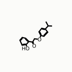 CC(C)c1ccc(OCC(=O)c2ccccc2O)cc1